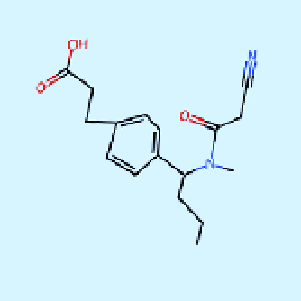 CCCC(c1ccc(CCC(=O)O)cc1)N(C)C(=O)CC#N